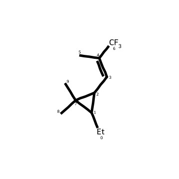 CCC1C(/C=C(\C)C(F)(F)F)C1(C)C